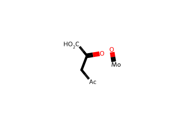 CC(=O)CC(=O)C(=O)O.[O]=[Mo]